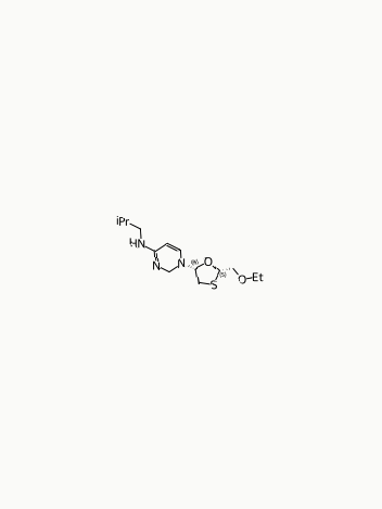 CCOC[C@H]1O[C@@H](N2C=CC(NCC(C)C)=NC2)CS1